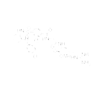 COC(=O)[C@H](CCCNC(=N)N)NC(=O)CNC(=O)c1ccc(S(=O)(=O)Nc2ccccc2Oc2ccc(Cl)cc2Cl)cc1